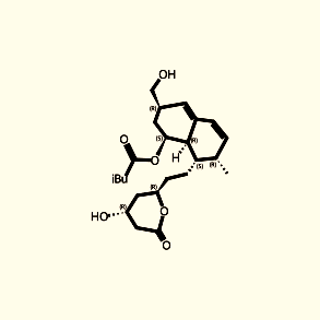 CCC(C)C(=O)O[C@H]1C[C@@H](CO)C=C2C=C[C@H](C)[C@H](CC[C@@H]3C[C@@H](O)CC(=O)O3)[C@H]21